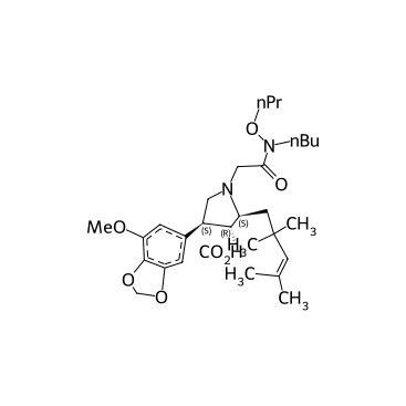 CCCCN(OCCC)C(=O)CN1C[C@H](c2cc(OC)c3c(c2)OCO3)[C@@H](C(=O)O)[C@@H]1CC(C)(C)C=C(C)C